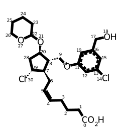 O=C(O)CCC/C=C\C[C@@H]1[C@@H](COc2cc(Cl)cc(CO)c2)[C@H](OC2CCCCO2)C[C@H]1Cl